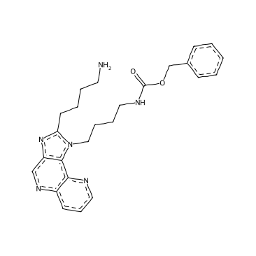 NCCCCc1nc2cnc3cccnc3c2n1CCCCNC(=O)OCc1ccccc1